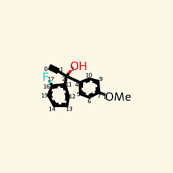 C#CC(O)(c1ccc(OC)cc1)c1ccccc1F